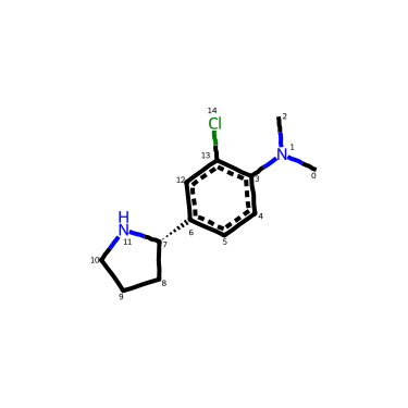 CN(C)c1ccc([C@@H]2CCCN2)cc1Cl